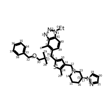 CCn1nnc2c(C)c([C@H](c3cc(CN4CCC[C@H](n5cccn5)C4)c(C)s3)C(C)(C)COCc3ccccc3)ccc21